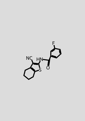 N#Cc1c(NC(=O)c2cccc(F)c2)sc2c1CCCC2